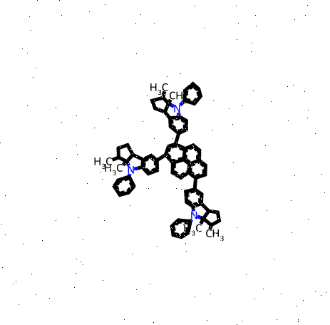 CC1CCC2c3cc(-c4ccc5ccc6c(-c7ccc8c(c7)C7CCC(C)C7(C)N8c7ccccc7)cc(-c7ccc8c(c7)C7CCC(C)C7(C)N8c7ccccc7)c7ccc4c5c67)ccc3N(c3ccccc3)C12C